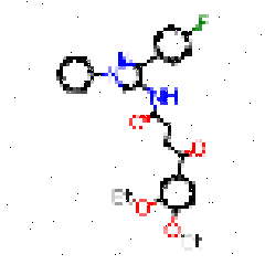 CCOc1ccc(C(=O)CCC(=O)Nc2cn(-c3ccccc3)nc2-c2ccc(F)cc2)cc1OCC